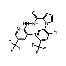 O=C(NNc1ncc(C(F)(F)F)cc1Cl)c1cccn1-c1ccc(C(F)(F)F)cc1Cl